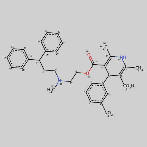 CC1=C(C(=O)O)C(c2cccc([N+](=O)[O-])c2)C(C(=O)OCCN(C)CCC(c2ccccc2)c2ccccc2)=C(C)N1